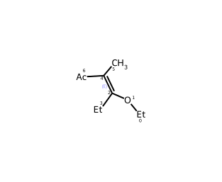 CCO/C(CC)=C(\C)C(C)=O